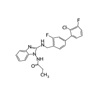 CCC(=O)Nn1c(NCc2ccc(-c3cccc(F)c3Cl)cc2F)nc2ccccc21